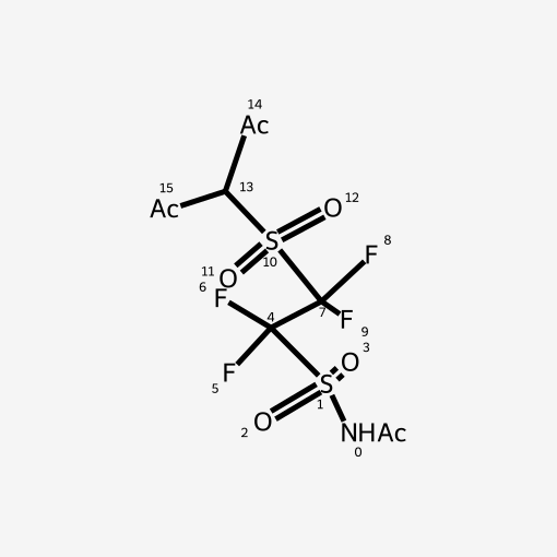 CC(=O)NS(=O)(=O)C(F)(F)C(F)(F)S(=O)(=O)C(C(C)=O)C(C)=O